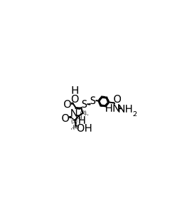 C[C@@H](O)[C@H]1C(=O)N2C(C(=O)O)=C(SCSc3ccc(C(=O)NN)cc3)[C@H](C)[C@H]12